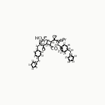 CCCN(Cc1ccc(Cn2cccc2)cc1)C(=O)C1C(C(=O)O)C(C(=O)N(CCC)Cc2ccc(Cn3cccc3)cc2)C1C(=O)O